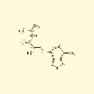 Cc1ccc(OC[C@H](O)[C@@H](C)NC(C)C)c2c1CCC2